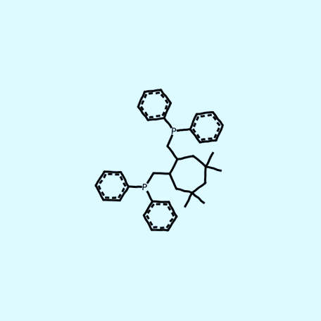 CC1(C)CC(CP(c2ccccc2)c2ccccc2)C(CP(c2ccccc2)c2ccccc2)CC(C)(C)C1